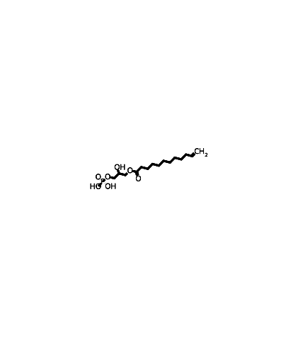 C=CCCCCCCCCCC(=O)OCC(O)COP(=O)(O)O